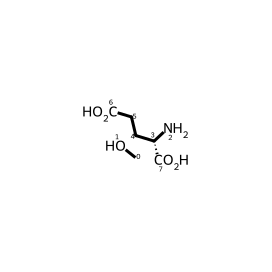 CO.N[C@@H](CCC(=O)O)C(=O)O